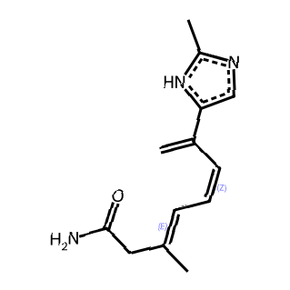 C=C(/C=C\C=C(/C)CC(N)=O)c1cnc(C)[nH]1